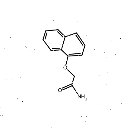 NC(=O)COc1cccc2ccccc12